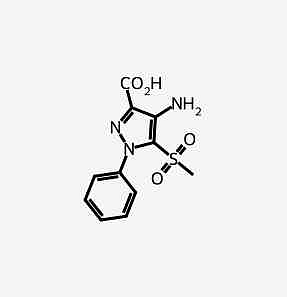 CS(=O)(=O)c1c(N)c(C(=O)O)nn1-c1ccccc1